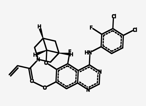 C=CC(=O)N1C[C@H]2C[C@@H](C1)[C@H]2Oc1c(OC)cc2ncnc(Nc3ccc(Cl)c(Cl)c3F)c2c1F